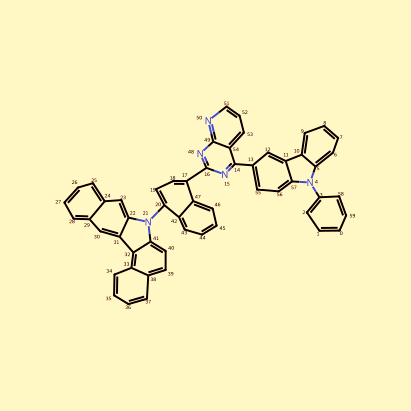 c1ccc(-n2c3ccccc3c3cc(-c4nc(-c5ccc(-n6c7cc8ccccc8cc7c7c8ccccc8ccc76)c6ccccc56)nc5ncccc45)ccc32)cc1